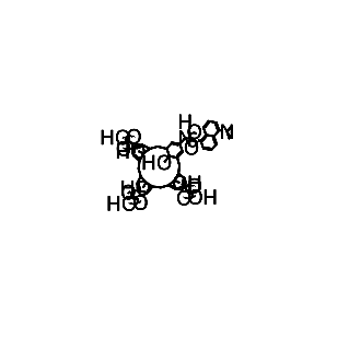 CN(C)c1cccc2c(S(=O)(=O)NC3=CC4CC5C=C(S(=O)(=O)O)C=C(CC6C=C(S(=O)(=O)O)C=C(CC7=CC(S(=O)(=O)O)=CC(CC(=C3)C4O)C7O)C6O)C5O)cccc12